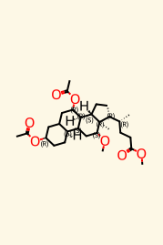 COC(=O)CC[C@@H](C)[C@H]1CC[C@H]2[C@@H]3[C@H](OC(C)=O)CC4C[C@H](OC(C)=O)CC[C@]4(C)[C@H]3C[C@H](OC)[C@]12C